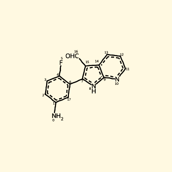 Nc1ccc(F)c(-c2[nH]c3ncccc3c2C=O)c1